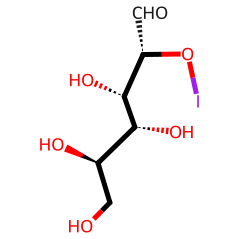 O=C[C@H](OI)[C@@H](O)[C@H](O)[C@H](O)CO